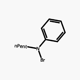 CCCCCN(Br)c1ccccc1